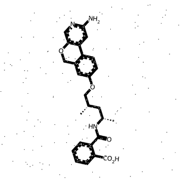 C[C@H](COc1ccc2c(c1)COc1cnc(N)cc1-2)C[C@H](C)NC(=O)c1ccccc1C(=O)O